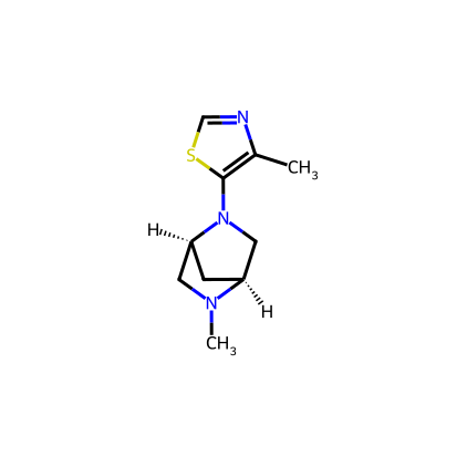 Cc1ncsc1N1C[C@@H]2C[C@H]1CN2C